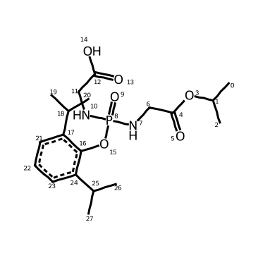 CC(C)OC(=O)CNP(=O)(NCC(=O)O)Oc1c(C(C)C)cccc1C(C)C